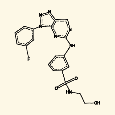 O=S(=O)(NCCO)c1cccc(Nc2ncc3nnn(-c4cccc(F)c4)c3n2)c1